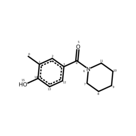 Cc1cc(C(=O)N2CCCCC2)ccc1O